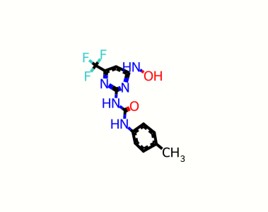 Cc1ccc(NC(=O)Nc2nc(NO)cc(C(F)(F)F)n2)cc1